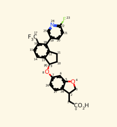 O=C(O)CC1COc2cc(O[C@@H]3CCc4c3ccc(C(F)(F)F)c4-c3ccc(F)nc3)ccc21